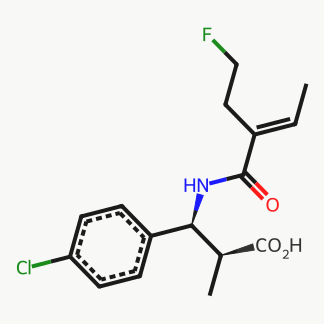 C/C=C(\CCF)C(=O)N[C@H](c1ccc(Cl)cc1)[C@H](C)C(=O)O